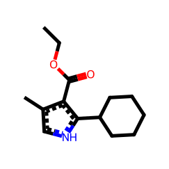 CCOC(=O)c1c(C)c[nH]c1C1CCCCC1